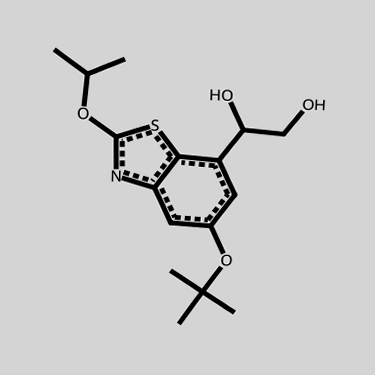 CC(C)Oc1nc2cc(OC(C)(C)C)cc(C(O)CO)c2s1